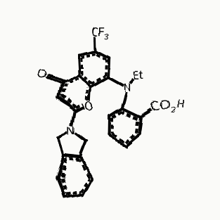 CCN(c1ccccc1C(=O)O)c1cc(C(F)(F)F)cc2c(=O)cc(N3Cc4ccccc4C3)oc12